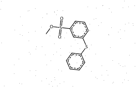 COS(=O)(=O)c1cc[c]c(Sc2ccccc2)c1